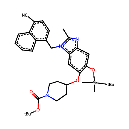 Cc1nc2cc(O[Si](C)(C)C(C)(C)C)c(OC3CCN(C(=O)OC(C)(C)C)CC3)cc2n1Cc1ccc(C#N)c2ccccc12